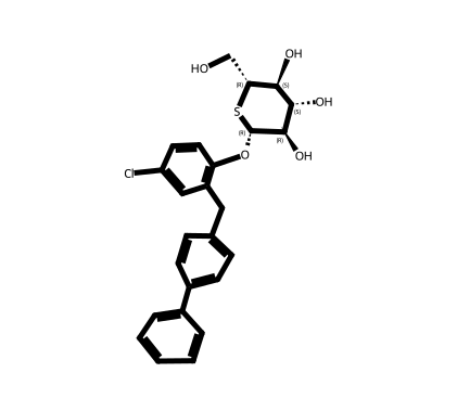 OC[C@H]1S[C@@H](Oc2ccc(Cl)cc2Cc2ccc(-c3ccccc3)cc2)[C@H](O)[C@@H](O)[C@@H]1O